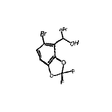 CCCC(O)c1c(Br)ccc2c1OC(F)(F)O2